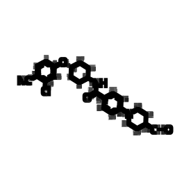 N#Cc1ccc(O[C@H]2CC[C@H](NC(=O)c3ccc(N4CCC(C=O)CC4)cc3)CC2)cc1Cl